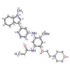 C=CC(=O)Nc1cc(Nc2cc(-c3cn(C)c4ccccc34)ncn2)c(OC)cc1OCCN1CCOCC1